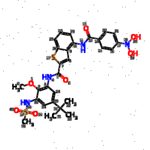 COc1c(NC(=O)c2cc3c(NC(=O)c4ccc(N(O)O)cc4)cccc3s2)cc(C(C)(C)C)cc1NS(C)(=O)=O